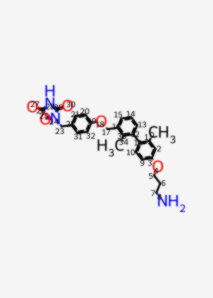 Cc1cc(OCCCN)ccc1-c1cccc(COc2ccc(Cn3oc(=O)[nH]c3=O)cc2)c1C